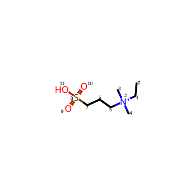 CC[N+](C)(C)CCCS(=O)(=O)O